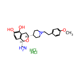 COc1ccc(CCN2CCC([C@H]3Cc4c(ccc(O)c4O)[C@@H](CN)O3)CC2)cc1.Cl.Cl